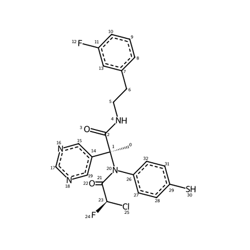 C[C@@](C(=O)NCCc1cccc(F)c1)(c1cncnc1)N(C(=O)[C@H](F)Cl)c1ccc(S)cc1